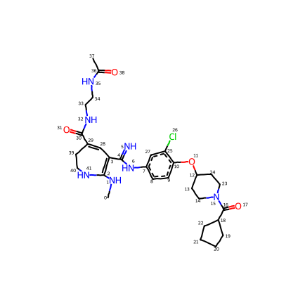 CNC1=C(C(=N)Nc2ccc(OC3CCN(C(=O)C4CCCC4)CC3)c(Cl)c2)C=C(C(=O)NCCNC(C)=O)CCN1